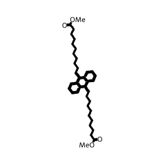 COC(=O)CCCCCCCCCC=c1c2ccccc2c(=CCCCCCCCCCC(=O)OC)c2ccccc12